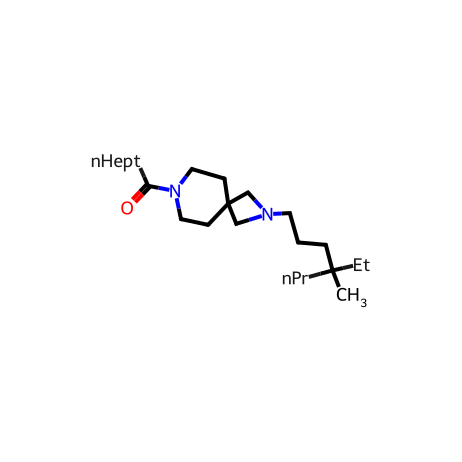 CCCCCCCC(=O)N1CCC2(CC1)CN(CCCC(C)(CC)CCC)C2